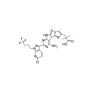 CC(C)(Cc1csc([C@]2(C)C(=O)Nc3nc(-c4nn(CCCC(F)(F)F)c5nc(Cl)ccc45)nc(N)c32)n1)C(=O)O